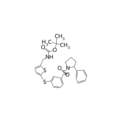 CC(C)(C)OC(=O)NCc1ccc(Sc2cccc(S(=O)(=O)N3CCCC3c3ccccc3)c2)s1